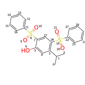 CC(C)c1cc(O)c(S(=O)(=O)c2ccccc2)cc1S(=O)(=O)c1ccccc1